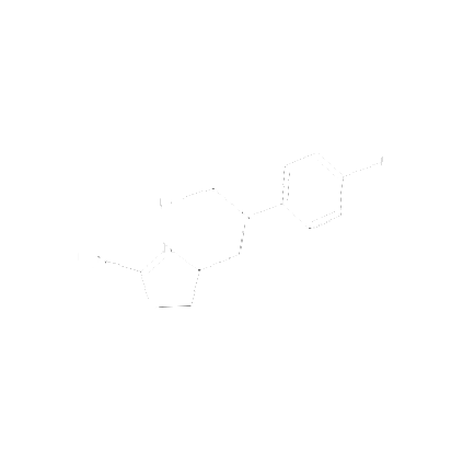 CCN(CC1COC(N)=N1)c1ccc(F)cc1